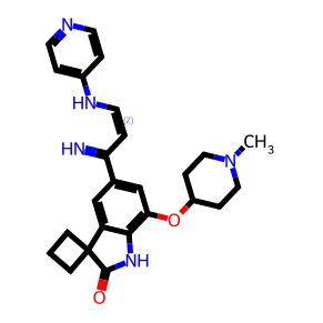 CN1CCC(Oc2cc(C(=N)/C=C\Nc3ccncc3)cc3c2NC(=O)C32CCC2)CC1